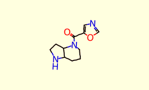 O=C(c1cnco1)N1CCCC2NCCC21